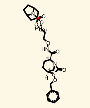 CC(C)(C)OC(=O)N1C2CCC1CC(ONCCONC(=O)[C@@H]1CC[C@H]3CN1C(=O)N3OCc1ccccc1)C2